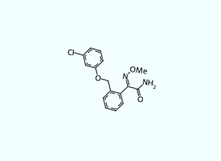 CON=C(C(N)=O)c1ccccc1COc1cccc(Cl)c1